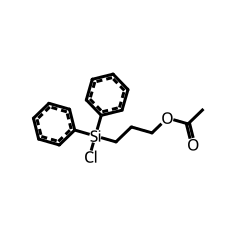 CC(=O)OCCC[Si](Cl)(c1ccccc1)c1ccccc1